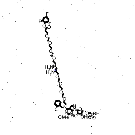 COc1nc(N(CCOCCOCCOCCOC/C(N)=C/N(N)CCOCCOCCOCCOCCC(=O)Oc2c(F)cc(F)cc2F)Cc2ccccc2Cl)c2cnn([C@@H]3O[C@H](COCP(=O)(O)O)[C@@H](O)[C@H]3O)c2n1